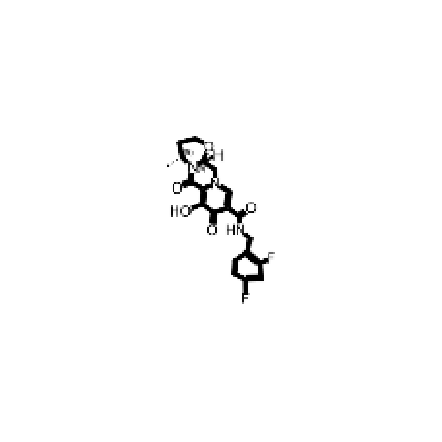 C[C@@H]1CCO[C@@H]2Cn3cc(C(=O)NCc4ccc(F)cc4F)c(=O)c(O)c3C(=O)N12